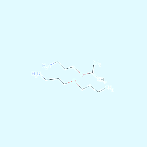 CC(C)OCCCN.CCCCOCCCN